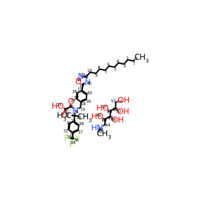 CCCCCCCCCCCc1noc(-c2ccc(CN(C(=O)C(=O)O)C(C)(C)c3ccc(C(F)(F)F)cc3)cc2)n1.CNC[C@H](O)[C@@H](O)[C@H](O)[C@H](O)CO